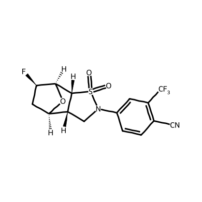 N#Cc1ccc(N2C[C@H]3[C@H]([C@H]4O[C@@H]3C[C@H]4F)S2(=O)=O)cc1C(F)(F)F